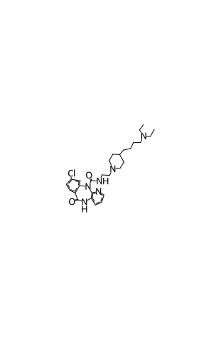 CCN(CC)CCCCC1CCN(CCNC(=O)N2c3cc(Cl)ccc3C(=O)Nc3cccnc32)CC1